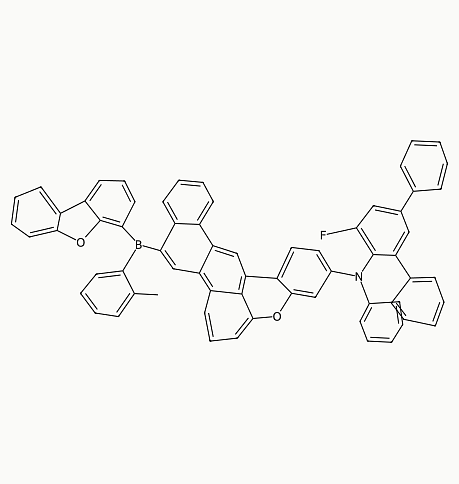 Cc1ccccc1B(c1cc2c3cccc4c3c(cc2c2ccccc12)-c1ccc(N(c2ccccc2)c2c(F)cc(-c3ccccc3)cc2-c2ccccc2)cc1O4)c1cccc2c1oc1ccccc12